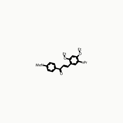 CCCc1cc(C=CC(=O)c2ccc(NC)cc2)c(OCC)cc1OCC